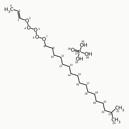 CC=COOOOOCCCCCCCCCCCCCCCC(C)C.O=P(O)(O)O